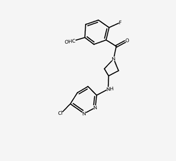 O=Cc1ccc(F)c(C(=O)N2CC(Nc3ccc(Cl)nn3)C2)c1